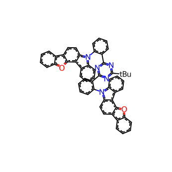 CC(C)(C)c1nc(-c2ccccc2-n2c3ccccc3c3c4oc5ccccc5c4ccc32)nc(-c2ccccc2-n2c3ccccc3c3c4oc5ccccc5c4ccc32)n1